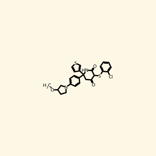 COC1CCN(c2ccc(C3(c4ccsc4)CC(=O)C(Sc4ccccc4Cl)C(=O)N3)cc2)C1